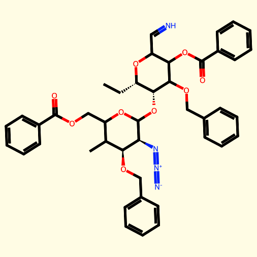 CC[C@@H]1OC(C=N)C(OC(=O)c2ccccc2)C(OCc2ccccc2)[C@@H]1OC1OC(COC(=O)c2ccccc2)C(C)[C@H](OCc2ccccc2)[C@@H]1N=[N+]=[N-]